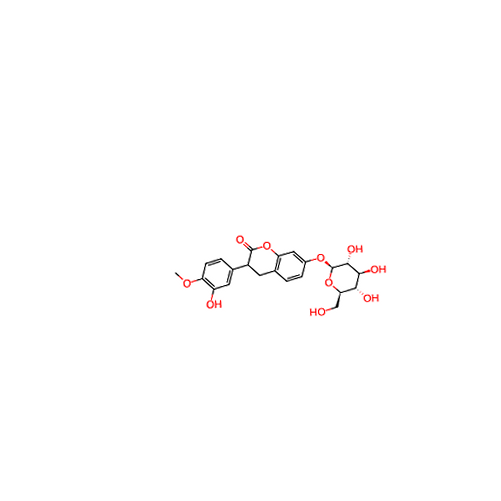 COc1ccc(C2Cc3ccc(O[C@@H]4O[C@H](CO)[C@@H](O)[C@H](O)[C@H]4O)cc3OC2=O)cc1O